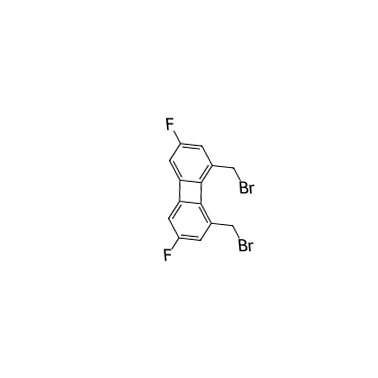 Fc1cc(CBr)c2c(c1)-c1cc(F)cc(CBr)c1-2